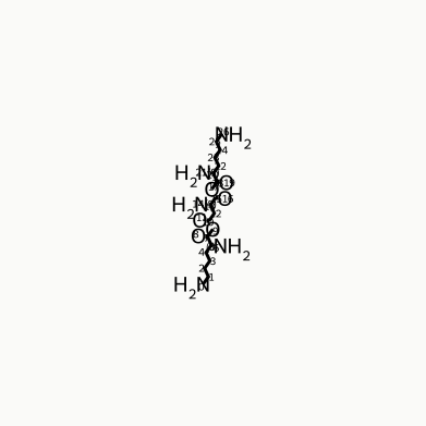 NCCCC[C@H](N)C(=O)OC(=O)C[C@H](N)C(=O)OC(=O)[C@@H](N)CCCCN